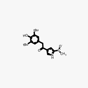 C[S+]([O-])c1cc(C(=O)Cc2cc(C(C)(C)C)c(O)c(C(C)(C)C)c2)c[nH]1